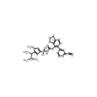 CC(c1cc(S(=O)(=O)NC(=O)Cc2c(-c3ccnc(C#N)c3)ccc3c2CCC3)nn1C)N(C)C